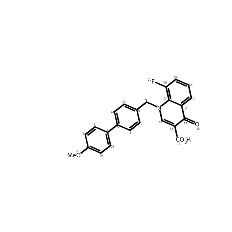 COc1ccc(-c2ccc(Cn3cc(C(=O)O)c(=O)c4cccc(F)c43)cc2)cc1